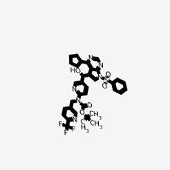 CC(C)(C)OC(=O)N(Cc1ccc(C(F)(F)F)nc1)c1ccc(C(O)c2cn(S(=O)(=O)c3ccccc3)c3ncnc(C4CCCC4)c23)cn1